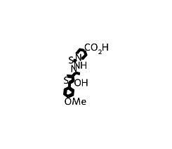 COc1ccc(-c2scc(/C(C)=N/NC(=S)N3CCC(C(=O)O)CC3)c2O)cc1